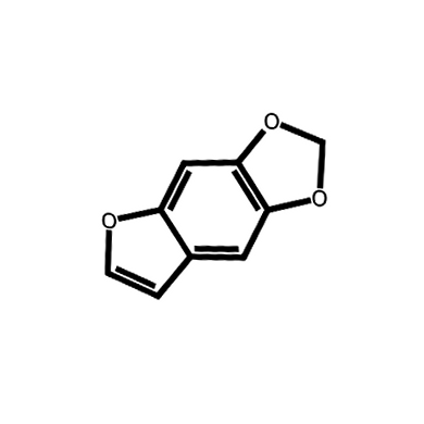 c1cc2cc3c(cc2o1)OCO3